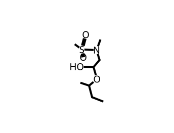 CCC(C)OC(O)CN(C)S(C)(=O)=O